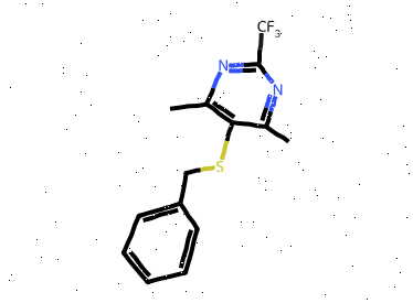 Cc1nc(C(F)(F)F)nc(C)c1SCc1ccccc1